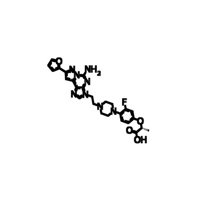 C[C@@H](Oc1ccc(N2CCN(CCn3cnc4c3nc(N)n3nc(-c5ccco5)cc43)CC2)c(F)c1)C(=O)O